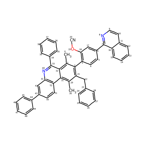 Cc1c(-c2ccc(-c3nccc4ccccc34)cc2OC#N)c(Cc2ccccc2)c(C)c2c1c(-c1ccccc1)nc1cc(-c3ccccc3)ccc12